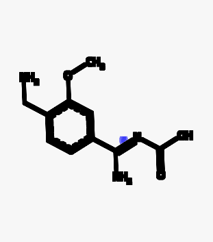 COc1cc(/C(N)=N/C(=O)O)ccc1CN